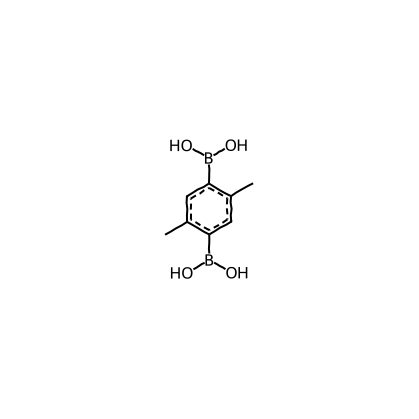 Cc1cc(B(O)O)c(C)cc1B(O)O